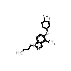 CCCCn1ncc2c(C)c(OC3CCC(N)CC3)ccc21